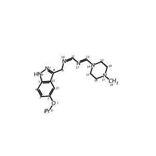 CC(C)Oc1ccc2[nH]nc(C/N=C\N=C\N3CCN(C)CC3)c2c1